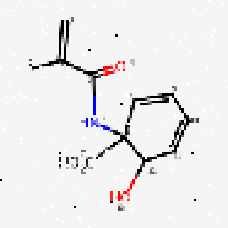 C=C(C)C(=O)NC1(C(=O)O)C=CC=CC1O